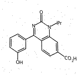 CC(C)n1c(=O)nc(-c2cccc(O)c2)c2ccc(C(=O)O)cc21